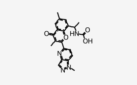 Cc1cc(C(C)NC(=O)O)c2oc(-c3ccc4c(cnn4C)n3)c(C)c(=O)c2c1